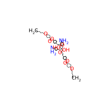 C=CCCCCOC1CCC(C(=O)Oc2ccc(/C=C/C(=O)C(O)C(Cc3ccc(N)cc3)(Cc3ccc(N)cc3)C(O)C(=O)/C=C/c3ccc(OC(=O)C4CCC(OCCCCC=C)CC4)cc3)cc2)CC1